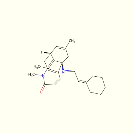 C/C=C1\[C@H]2C=C(C)C[C@]1(N=CC=C1CCCCC1)c1ccc(=O)n(C)c1C2